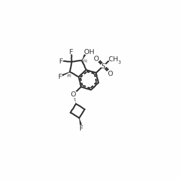 CS(=O)(=O)c1ccc(O[C@H]2C[C@H](F)C2)c2c1[C@H](O)C(F)(F)[C@@H]2F